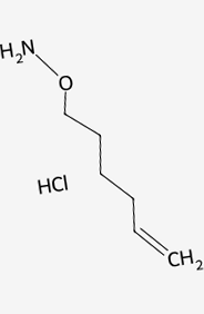 C=CCCCCON.Cl